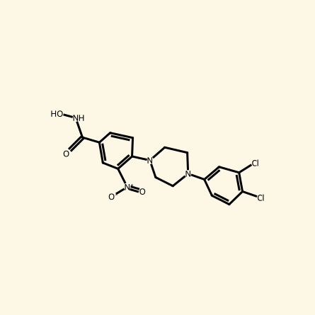 O=C(NO)c1ccc(N2CCN(c3ccc(Cl)c(Cl)c3)CC2)c([N+](=O)[O-])c1